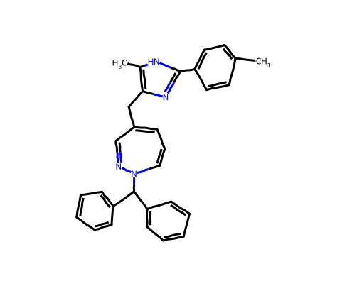 Cc1ccc(-c2nc(CC3=CC=CN(C(c4ccccc4)c4ccccc4)N=C3)c(C)[nH]2)cc1